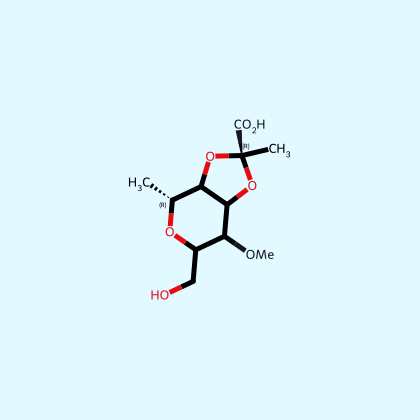 COC1C(CO)O[C@H](C)C2O[C@@](C)(C(=O)O)OC12